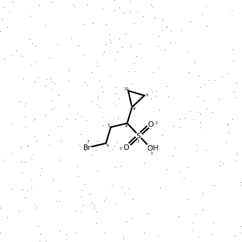 O=S(=O)(O)C(CCBr)C1CC1